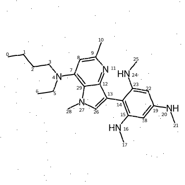 CCCCN(CC)c1cc(C)nc2c(-c3c(NC)cc(NC)cc3NC)cn(C)c12